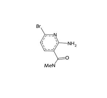 CNC(=O)c1ccc(Br)nc1N